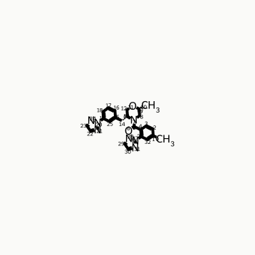 Cc1ccc(C(=O)N2C[C@H](C)OC[C@H]2Cc2cccc(-n3nccn3)c2)c(-n2nccn2)c1